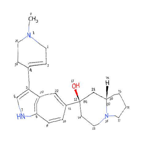 CN1CC=C(c2c[nH]c3ccc([C@@]4(O)CCN5CCC[C@H]5C4)cc23)CC1